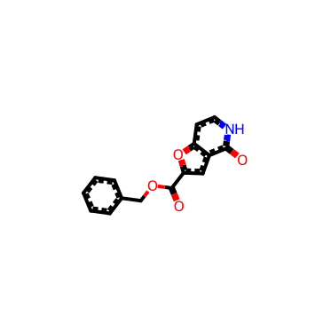 O=C(OCc1ccccc1)c1cc2c(=O)[nH]ccc2o1